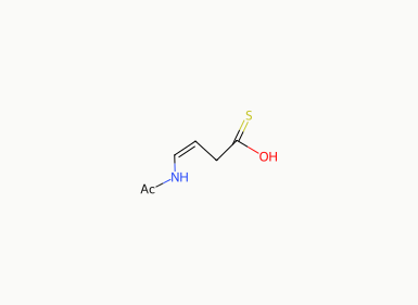 CC(=O)N/C=C\CC(O)=S